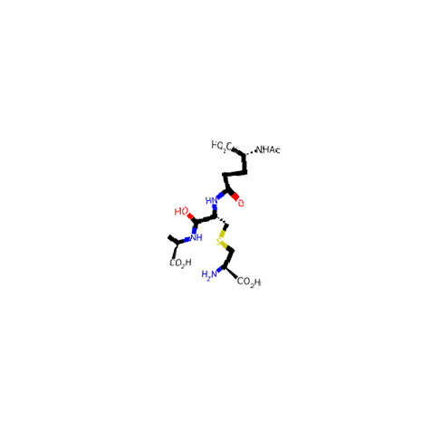 CC(=O)N[C@H](CCC(=O)N[C@H](CSC[C@H](N)C(=O)O)C(O)N[C@H](C)C(=O)O)C(=O)O